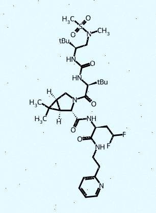 CN(C[C@@H](NC(=O)N[C@H](C(=O)N1C[C@H]2[C@@H]([C@H]1C(=O)N[C@@H](CC(F)F)C(=O)NCCc1ccccn1)C2(C)C)C(C)(C)C)C(C)(C)C)S(C)(=O)=O